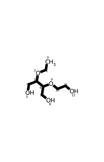 CCOC(CO)C(CO)OCCO